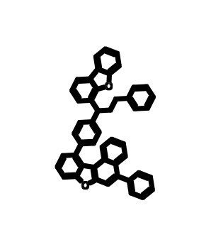 c1ccc(CCC(c2ccc(-c3cccc4oc5cc(-c6ccccc6)c6ccccc6c5c34)cc2)c2cccc3c2oc2ccccc23)cc1